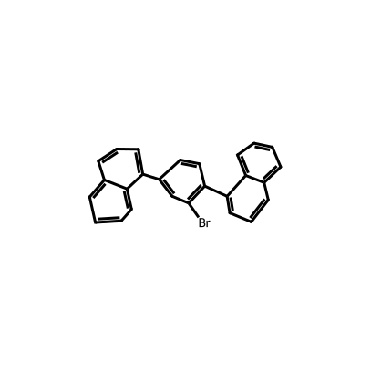 Brc1cc(-c2cccc3ccccc23)ccc1-c1cccc2ccccc12